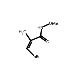 CCCCC=C(C)C(=O)NOC